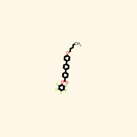 CCCCCOc1ccc(-c2ccc(-c3ccc(C(=O)Oc4c(F)c(F)c(F)c(F)c4F)cc3)cc2)cc1